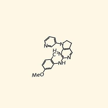 COc1ccc(C)c(Nc2ncc3c(n2)N(c2cccnc2)CC3)c1